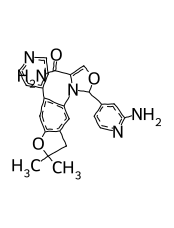 CC1(C)Cc2cc(N3C(C(N)=O)=COC3c3ccnc(N)c3)c(-c3ccncc3)cc2O1